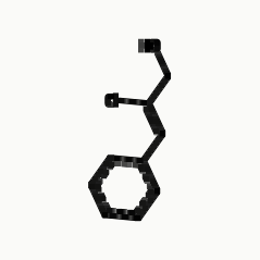 OC/C(Cl)=C/c1ccccc1